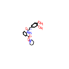 O=C(/C=C/c1ccc(O)c(O)c1)Nc1ccccc1C(=O)ON1CCCCC1